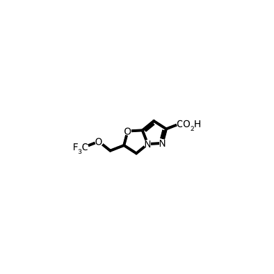 O=C(O)c1cc2n(n1)CC(COC(F)(F)F)O2